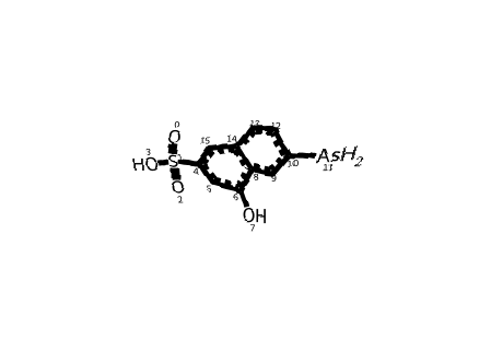 O=S(=O)(O)c1cc(O)c2cc([AsH2])ccc2c1